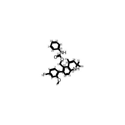 COc1cc(F)ccc1-c1ccc2c(c1COC(=O)Nc1ccccc1)C(C)=CC(C)(C)N2